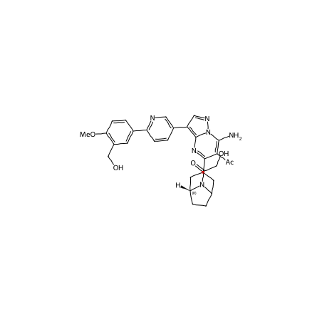 COc1ccc(-c2ccc(-c3cnn4c(N)c(C(C)=O)c(C5CC6CC[C@H](C5)N6C(=O)CO)nc34)cn2)cc1CO